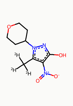 [2H]C([2H])([2H])c1c([N+](=O)[O-])c(O)nn1C1CCOCC1